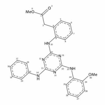 COC(=O)Cc1ccccc1Nc1nc(Nc2ccccc2)nc(Nc2ccccc2OC)n1